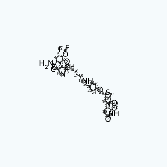 NC(=O)c1ccc(OC(F)F)c(OCCCCCCCNCc2ccc(OCc3scc4c3CN(C3CCC(=O)NC3=O)C4=O)cc2)c1-c1c(Cl)cncc1Cl